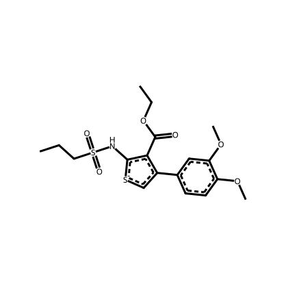 CCCS(=O)(=O)Nc1scc(-c2ccc(OC)c(OC)c2)c1C(=O)OCC